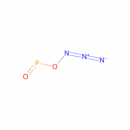 [N-]=[N+]=NOP=O